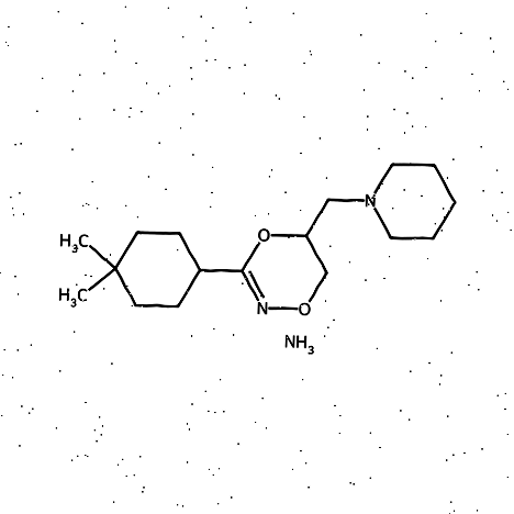 CC1(C)CCC(C2=NOCC(CN3CCCCC3)O2)CC1.N